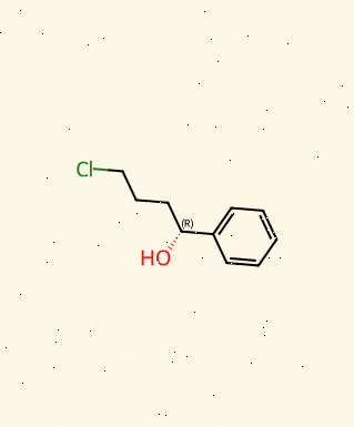 O[C@H](CCCCl)c1ccccc1